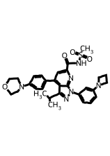 CC(C)c1nn(-c2cccc(N3CCC3)c2)c2nc(C(=O)NS(C)(=O)=O)cc(-c3ccc(N4CCOCC4)cc3)c12